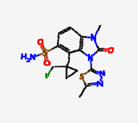 Cc1nnc(-n2c(=O)n(C)c3ccc(S(N)(=O)=O)c(C4(CF)CC4)c32)s1